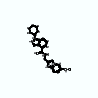 O=Cc1ccc2nc(CNC(=O)c3cccc4c3cnn4C3CCCCO3)cn2c1